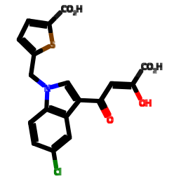 O=C(O)C(O)=CC(=O)c1cn(Cc2ccc(C(=O)O)s2)c2ccc(Cl)cc12